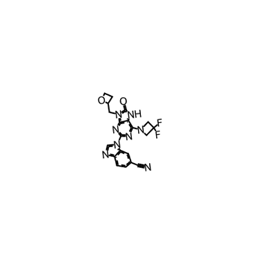 N#Cc1ccc2ncn(-c3nc(N4CC(F)(F)C4)c4[nH]c(=O)n(CC5CCO5)c4n3)c2c1